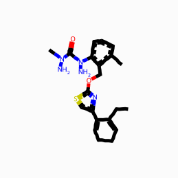 CCC1=CCCC=C1c1csc(OCc2c(C)cccc2N(N)C(=O)N(C)N)n1